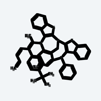 C=C/C=C\C(=C(/C)N1c2cc(C)cc3c2CB(c2sc4ccccc4c21)c1sc2ccccc2c1N3c1ccccc1)c1ccc(C(C)(C)C)cc1